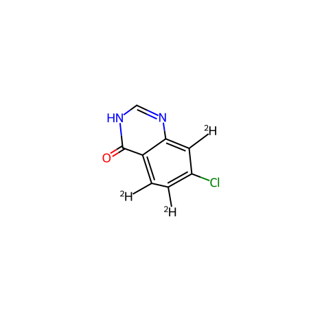 [2H]c1c(Cl)c([2H])c2nc[nH]c(=O)c2c1[2H]